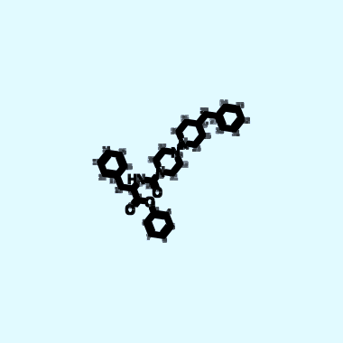 O=C(Oc1ccccc1)C(Cc1ccccc1)NC(=O)N1CCN(N2CCC(Cc3ccccc3)CC2)CC1